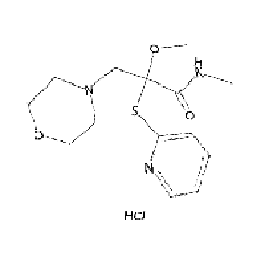 CNC(=O)C(CN1CCOCC1)(OC)Sc1ccccn1.Cl